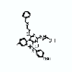 Cc1ccc(-c2c(NS(=O)(=O)c3ccc(C(C)(C)C)cc3)nc(NCCO)nc2OCCOCc2ccccc2)cc1